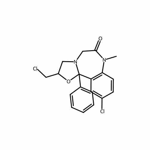 CN1C(=O)CN2CC(CCl)OC2(c2ccccc2)c2cc(Cl)ccc21